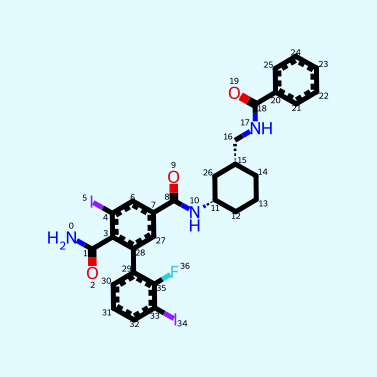 NC(=O)c1c(I)cc(C(=O)N[C@H]2CCC[C@@H](CNC(=O)c3ccccc3)C2)cc1-c1cccc(I)c1F